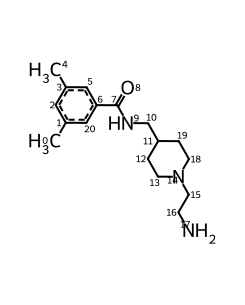 Cc1cc(C)cc(C(=O)NCC2CCN(CCN)CC2)c1